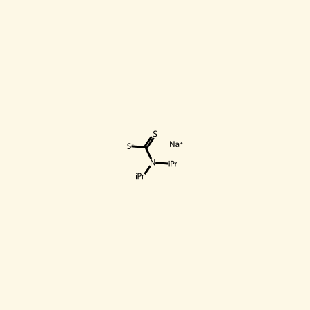 CC(C)N(C(=S)[S-])C(C)C.[Na+]